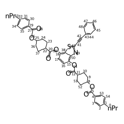 CCCc1ccc(C(=O)OC2CCC(C(=O)Oc3ccc(OC(=O)C4CCC(OC(=O)c5ccc(CCC)cc5)CC4)c4sc(C#Cc5ccccc5)nc34)CC2)cc1